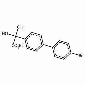 CCOC(=O)C(C)(O)c1ccc(-c2ccc(Br)cc2)cc1